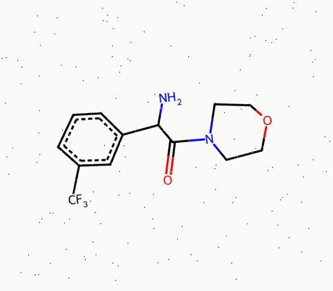 NC(C(=O)N1CCOCC1)c1cccc(C(F)(F)F)c1